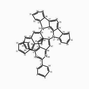 c1ccc(-c2nc(-c3ccccc3)c3ccc(-n4c5ccccc5c5ccc6c7ccccc7n(-c7ccc8ccccc8c7)c6c54)cc3n2)cc1